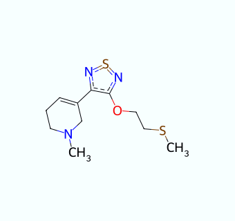 CSCCOc1nsnc1C1=CCCN(C)C1